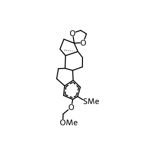 COCOc1cc2c(cc1SC)C1CC[C@@]3(C)C(CCC34OCCO4)C1CC2